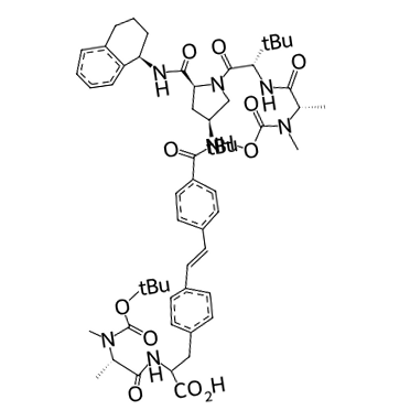 C[C@@H](C(=O)NC(Cc1ccc(C=Cc2ccc(C(=O)N[C@H]3C[C@@H](C(=O)N[C@@H]4CCCc5ccccc54)N(C(=O)[C@@H](NC(=O)[C@H](C)N(C)C(=O)OC(C)(C)C)C(C)(C)C)C3)cc2)cc1)C(=O)O)N(C)C(=O)OC(C)(C)C